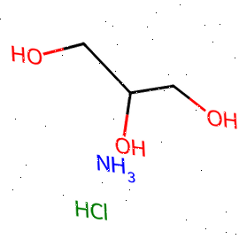 Cl.N.OCC(O)CO